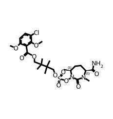 COc1ccc(Cl)c(OC)c1C(=O)OCC(C)(C)C(C)(C)COS(=O)(=O)ON1C(=O)N(C)[C@H](C(N)=O)CC[C@@H]1C